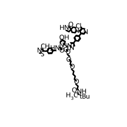 Cc1ncsc1-c1ccc(CNC(=O)N2C[C@H](O)C[C@H]2C(OOCCOCCOCCCCCOCCC(=O)N[C@@H](C)C(C)(C)C)n2cc(-c3ccc(-c4cncc(Cl)c4N4CCC5(CCNC5=O)CC4)cc3)cn2)cc1